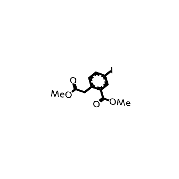 COC(=O)Cc1ccc(I)cc1C(=O)OC